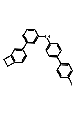 Fc1ccc(-c2ccc(Nc3cccc(-c4ccc5c(c4)CC5)c3)cc2)cc1